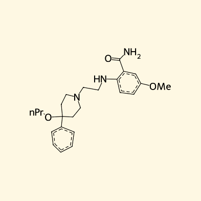 CCCOC1(c2ccccc2)CCN(CCNc2ccc(OC)cc2C(N)=O)CC1